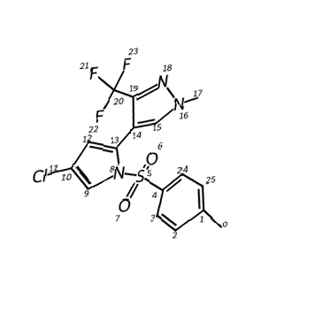 Cc1ccc(S(=O)(=O)n2cc(Cl)cc2-c2cn(C)nc2C(F)(F)F)cc1